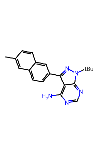 Cc1ccc2cc(-c3nn(C(C)(C)C)c4ncnc(N)c34)ccc2c1